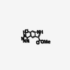 COC(=O)c1c[nH]c2cc(Cl)c(-c3nnn[nH]3)cc12